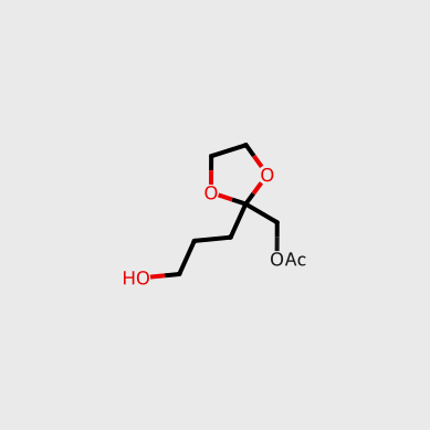 CC(=O)OCC1(CCCO)OCCO1